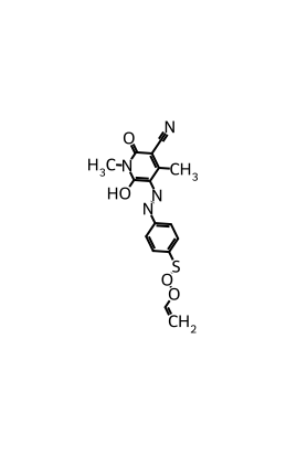 C=COOSc1ccc(N=Nc2c(C)c(C#N)c(=O)n(C)c2O)cc1